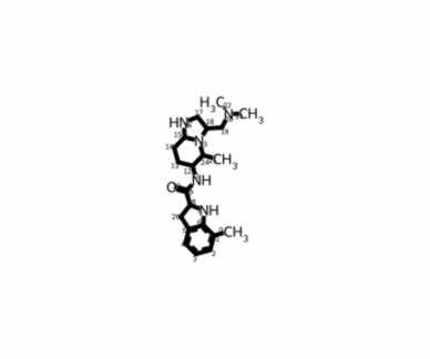 Cc1cccc2c1NC(C(=O)NC1CCC3NCC(CN(C)C)N3C1C)C2